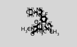 C[C@H]1CN(c2cc(F)c(-c3ccnc(N4CCOCC4)n3)cc2NC(=O)c2cn(C)c(=O)cc2C(F)F)CCN1C